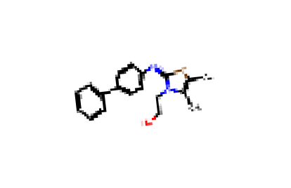 CC(=O)c1s/c(=N/c2ccc(-c3ccccc3)cc2)n(CCO)c1C